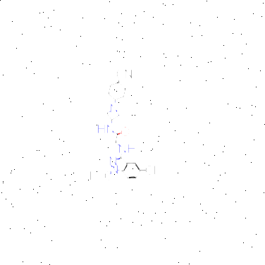 Cc1ccc2c(c1)c(NCC(=O)NC1CN(C3CCC(C#N)CC3)C1)nn2C